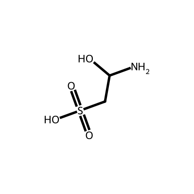 NC(O)CS(=O)(=O)O